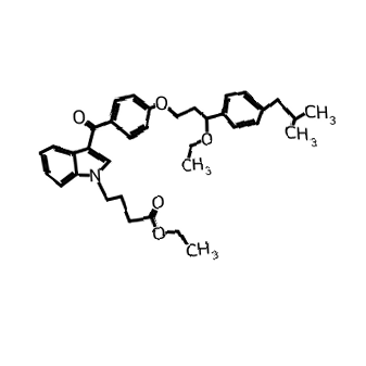 CCOC(=O)CCCn1cc(C(=O)c2ccc(OCCC(OCC)c3ccc(CC(C)C)cc3)cc2)c2ccccc21